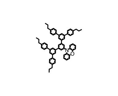 CCCc1ccc(-c2cc(-c3ccc(CCC)cc3)cc(-c3cc(-c4cc(-c5ccc(CCC)cc5)cc(-c5ccc(CCC)cc5)c4)cc(N4c5ccccc5Oc5ccccc54)c3)c2)cc1